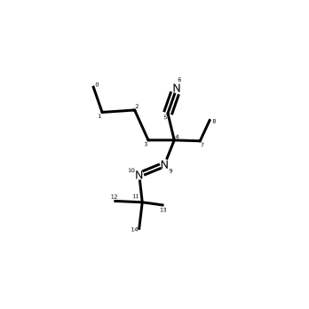 CCCCC(C#N)(CC)/N=N/C(C)(C)C